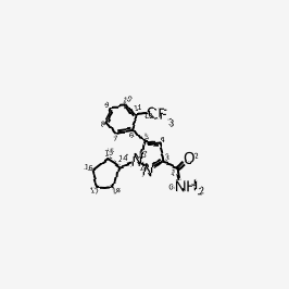 NC(=O)c1cc(-c2ccccc2C(F)(F)F)n(C2CCCC2)n1